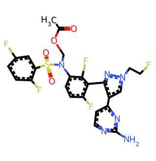 CC(=O)OCN(c1ccc(F)c(-c2nn(CCF)cc2-c2ccnc(N)n2)c1F)S(=O)(=O)c1cc(F)ccc1F